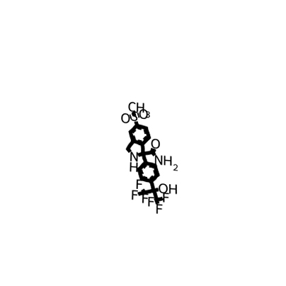 CS(=O)(=O)c1ccc2c(c1)CNC2(C(N)=O)c1ccc(C(O)(C(F)(F)F)C(F)(F)F)cc1